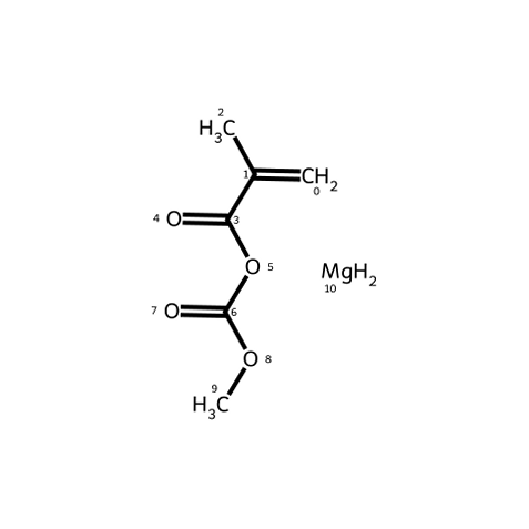 C=C(C)C(=O)OC(=O)OC.[MgH2]